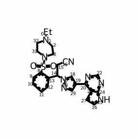 CCN1CCN(S(=O)(=O)c2ccccc2C(CC#N)n2cc(-c3ncnc4[nH]ccc34)cn2)CC1